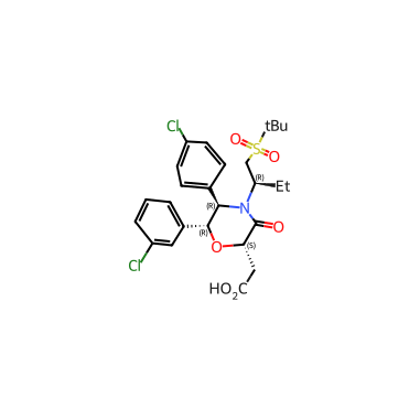 CC[C@H](CS(=O)(=O)C(C)(C)C)N1C(=O)[C@H](CC(=O)O)O[C@H](c2cccc(Cl)c2)[C@H]1c1ccc(Cl)cc1